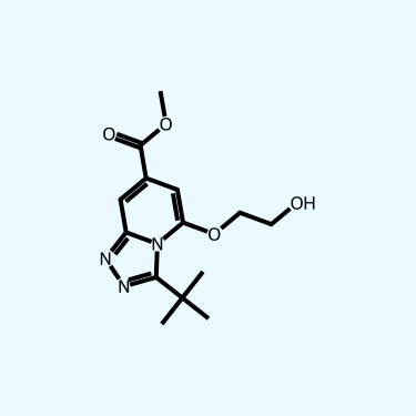 COC(=O)c1cc(OCCO)n2c(C(C)(C)C)nnc2c1